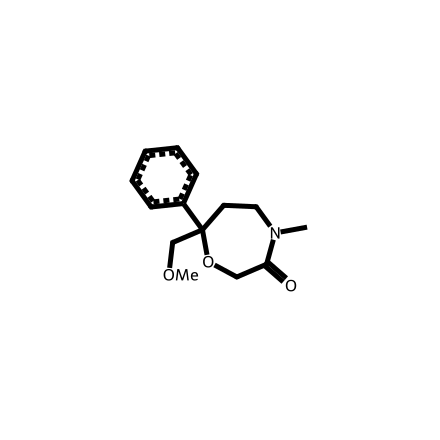 COCC1(c2ccccc2)CCN(C)C(=O)CO1